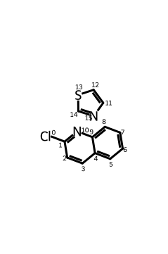 Clc1ccc2ccccc2n1.c1cscn1